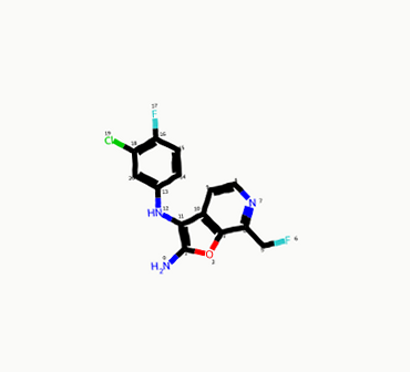 Nc1oc2c(CF)nccc2c1Nc1ccc(F)c(Cl)c1